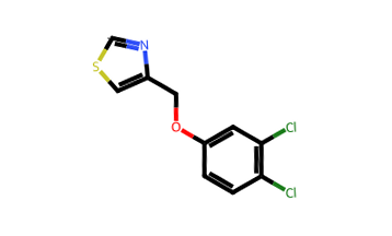 Clc1ccc(OCc2cs[c]n2)cc1Cl